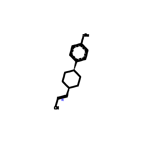 CCCCc1ccc([C@H]2CC[C@H](/C=C/C#N)CC2)cc1